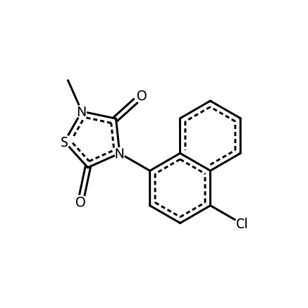 Cn1sc(=O)n(-c2ccc(Cl)c3ccccc23)c1=O